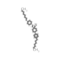 CCCCCCCC[C@H]1CC[C@H](CC[C@]2(C#N)CC[C@H](c3ccc(CCCCCCC)cc3)CC2)CC1